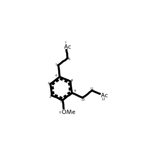 COc1ccc(CCC(C)=O)cc1CCC(C)=O